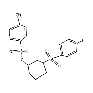 Cc1ccc(S(=O)(=O)ON2CCCC(S(=O)(=O)c3ccc(F)cc3)C2)cc1